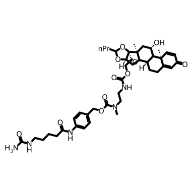 CCCC1O[C@@H]2CC3[C@@H]4CCC5=CC(=O)C=C[C@]5(C)C4[C@@H](O)C[C@]3(C)[C@]2(C(=O)COC(=O)NCCN(C)C(=O)OCc2ccc(NC(=O)CCCCNC(N)=O)cc2)O1